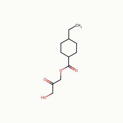 CCC1CCC(C(=O)OCC(=O)CO)CC1